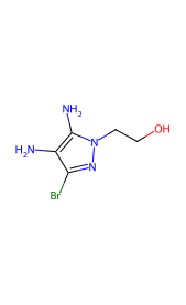 Nc1c(Br)nn(CCO)c1N